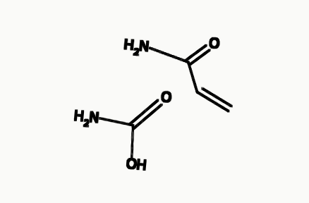 C=CC(N)=O.NC(=O)O